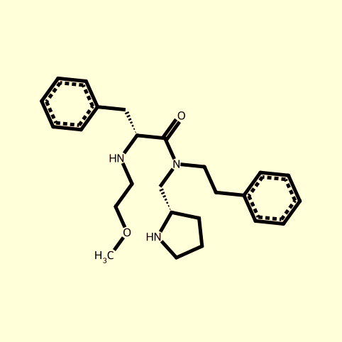 COCCN[C@H](Cc1ccccc1)C(=O)N(CCc1ccccc1)C[C@@H]1CCCN1